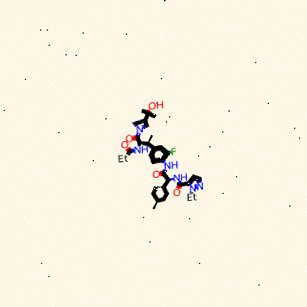 CCC(=O)N[C@@H](C(=O)N1CC(C(C)(C)O)C1)[C@@H](C)c1ccc(NC(=O)[C@@H](NC(=O)c2ccnn2CC)[C@H]2CC[C@H](C)CC2)c(F)c1